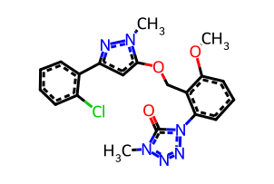 COc1cccc(-n2nnn(C)c2=O)c1COc1cc(-c2ccccc2Cl)nn1C